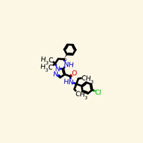 CCC(CC)(NC(=O)c1cnn2c1N[C@@H](c1ccccc1)CC2(C)C)c1ccc(Cl)cc1